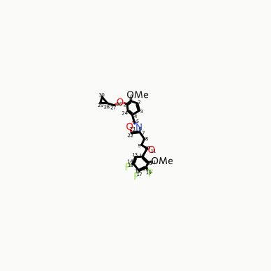 COc1ccc(-c2nc(CCC(=O)c3cc(F)c(F)c(F)c3OC)co2)cc1OCC1CC1